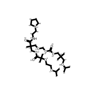 CC(C)OCCOC(C)(C)C(=O)OCC(C)(COCOC(=O)OCC(C)(C)COC(C)C)C(=O)NCCN1CCCC1